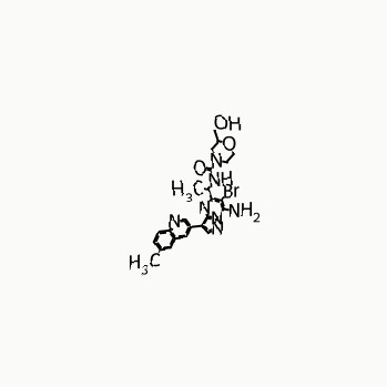 Cc1ccc2ncc(-c3cnn4c(N)c(Br)c(C(C)NC(=O)N5CCOC(CO)C5)nc34)cc2c1